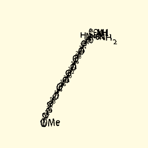 COCCOCCOCCOCCOCCOCCOCCOCCOCCOCCOCCOCCC(=O)N[C@@H](CSSC(=N)N)C(=O)O